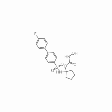 O=C(NO)OC1(NS(=O)(=O)c2ccc(-c3ccc(F)cc3)cc2)CCCC1